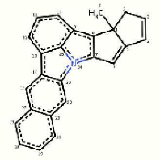 CC12CC=CC1=Cc1c2c2cccc3c4cc5ccccc5cc4n1c23